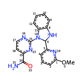 COc1cccc(C2Nc3ccccc3N2c2nccc(C(N)=O)n2)n1